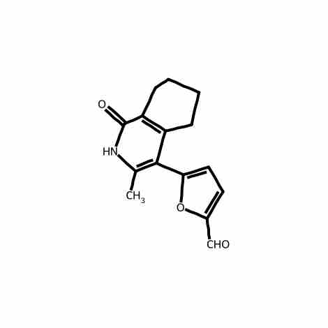 Cc1[nH]c(=O)c2c(c1-c1ccc(C=O)o1)CCCC2